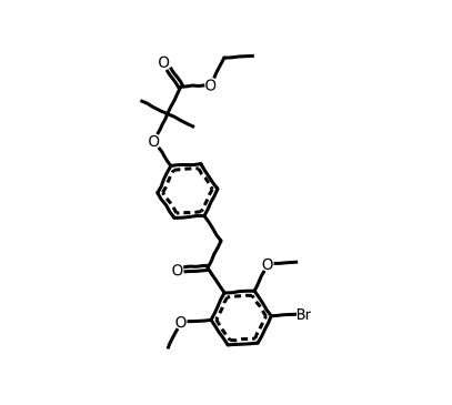 CCOC(=O)C(C)(C)Oc1ccc(CC(=O)c2c(OC)ccc(Br)c2OC)cc1